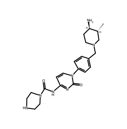 C[C@@H]1CN(Cc2ccc(-n3ccc(NC(=O)N4CCNCC4)nc3=O)cc2)CC[C@H]1N